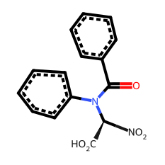 O=C(O)[C@@H](N(C(=O)c1ccccc1)c1ccccc1)[N+](=O)[O-]